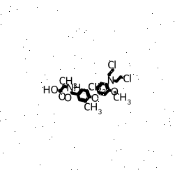 COc1cc(Oc2c(C)cc(C(=O)N[C@@H](C)C(=O)O)cc2C)ccc1N(CCCl)CCCl